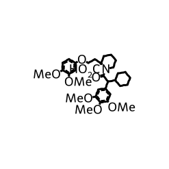 COc1ccc(OCCC2(C(=O)O)CCCCN2C(=O)C(c2cc(OC)c(OC)c(OC)c2)C2CCCCC2)cc1OC